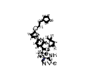 CN/C=C(\C(C)=N)S(=O)(=O)NC(=O)c1ccc(-n2ccc(OCCC3CCCC3)n2)nc1N1C[C@@H](C)CC1(C)C